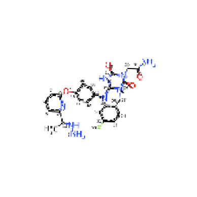 CC(NN)c1cccc(Oc2ccc(/N=c3\[nH]c(=O)n(CC(N)=O)c(=O)n3Cc3ccc(F)cc3)cc2)n1